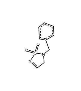 O=S1(=O)N=CCN1Cc1ccccc1